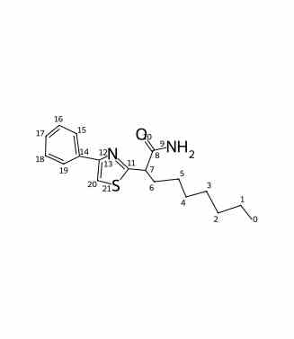 CCCCCCCC(C(N)=O)c1nc(-c2ccccc2)cs1